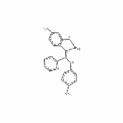 Cc1ccc(N/C(=C2\C(=O)Nc3cc(N)ccc32)c2ccccc2)cc1